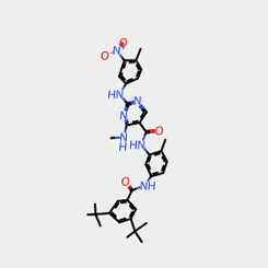 CNc1nc(Nc2ccc(C)c([N+](=O)[O-])c2)ncc1C(=O)Nc1cc(NC(=O)c2cc(C(C)(C)C)cc(C(C)(C)C)c2)ccc1C